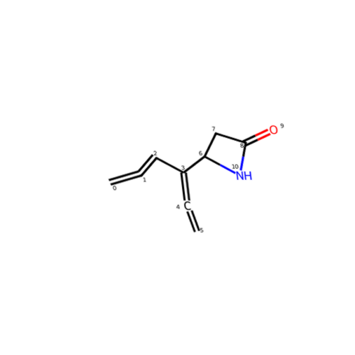 C=C=CC(=C=C)C1CC(=O)N1